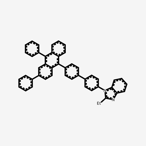 CCc1nc2ccccc2n1-c1ccc(-c2ccc(-c3c4ccccc4c(-c4ccccc4)c4cc(-c5ccccc5)ccc34)cc2)cc1